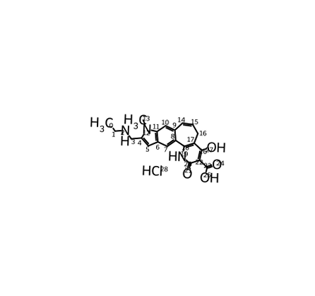 CCNCc1cc2cc3c(cc2n1C)C=CCc1c-3[nH]c(=O)c(C(=O)O)c1O.Cl